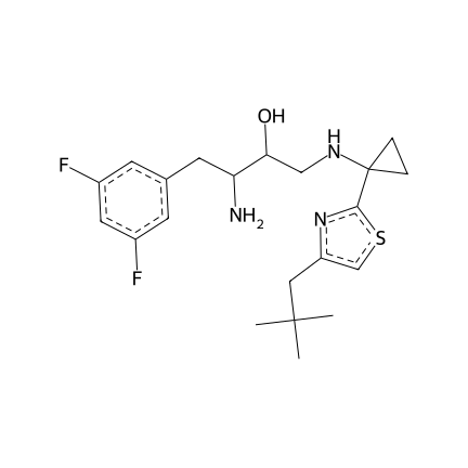 CC(C)(C)Cc1csc(C2(NCC(O)C(N)Cc3cc(F)cc(F)c3)CC2)n1